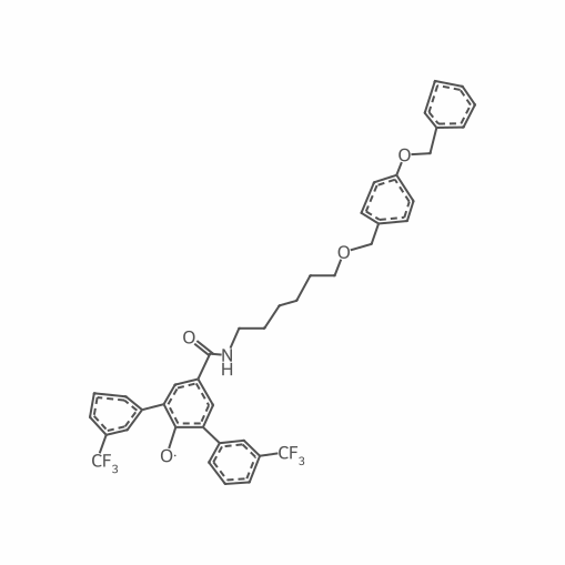 [O]c1c(-c2cccc(C(F)(F)F)c2)cc(C(=O)NCCCCCCOCc2ccc(OCc3ccccc3)cc2)cc1-c1cccc(C(F)(F)F)c1